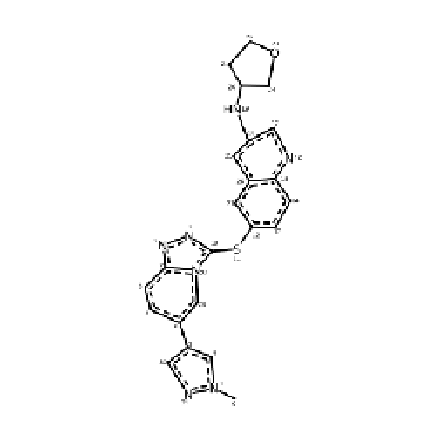 Cn1cc(-c2ccc3nnc(Sc4ccc5ncc(NC6CCOC6)cc5c4)n3c2)cn1